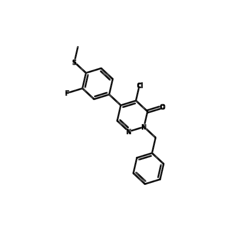 CSc1ccc(-c2cnn(Cc3ccccc3)c(=O)c2Cl)cc1F